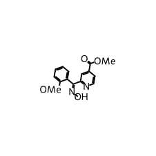 COC(=O)c1ccnc(/C(=N\O)c2ccccc2OC)c1